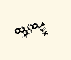 C[C@H]([C@H](C(=O)Nc1cc([C@@H](CC(=O)OC(C)(C)C)C2CC2)ccc1Cl)c1cnc2ccccc2c1)C(F)(F)F